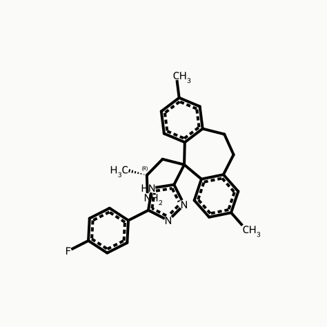 Cc1ccc2c(c1)CCc1cc(C)ccc1C2(C[C@@H](C)N)c1nnc(-c2ccc(F)cc2)[nH]1